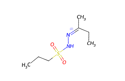 CCCS(=O)(=O)N/N=C(/C)CC